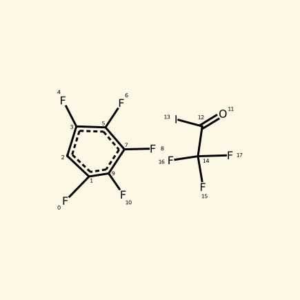 Fc1cc(F)c(F)c(F)c1F.O=C(I)C(F)(F)F